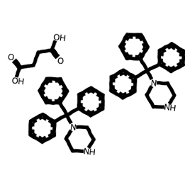 O=C(O)CCC(=O)O.c1ccc(C(c2ccccc2)(c2ccccc2)N2CCNCC2)cc1.c1ccc(C(c2ccccc2)(c2ccccc2)N2CCNCC2)cc1